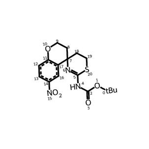 CC(C)(C)OC(=O)NC1=NC2(CCOc3ccc([N+](=O)[O-])cc32)CCS1